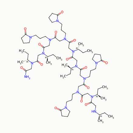 CC[C@@H](C)NCC(=O)N(CC(=O)N(CCCN1CCCC1=O)CC(=O)N(CCCN1CCCC1=O)CC(=O)N(CC(=O)N(CC(=O)N(CCCN1CCCC1=O)CC(=O)N(CCCN1CCCC1=O)CC(=O)N(CC(=O)N(CC(N)=O)[C@H](C)CC)[C@H](C)CC)[C@H](C)CC)[C@H](C)CC)[C@H](C)CC